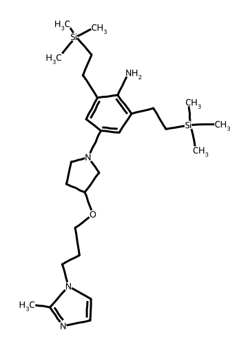 Cc1nccn1CCCOC1CCN(c2cc(CC[Si](C)(C)C)c(N)c(CC[Si](C)(C)C)c2)C1